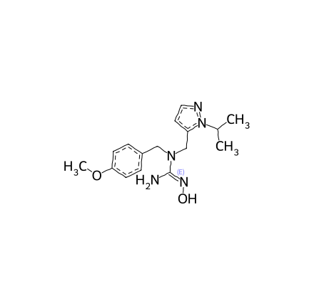 COc1ccc(CN(Cc2ccnn2C(C)C)/C(N)=N/O)cc1